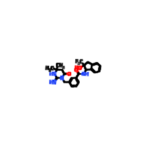 CC1(C)CC(=O)N(Cc2cccc(C(=O)NC3c4ccccc4CC3(O)C(F)(F)F)c2)C(=N)N1